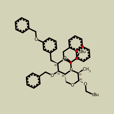 C[C@H]1[C@H](OCC(C)(C)C)OC[C@H]([C@@H](OCc2ccccc2)[C@@H](Cc2cccc(OCc3ccccc3)c2)N(Cc2ccccc2)Cc2ccccc2)N1C(=O)OC(C)(C)C